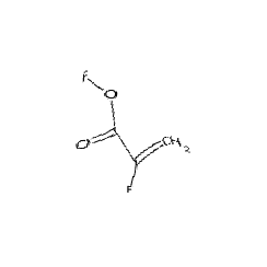 C=C(F)C(=O)OF